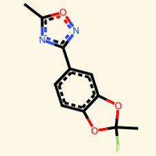 Cc1nc(-c2ccc3c(c2)OC(C)(F)O3)no1